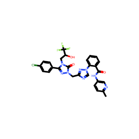 Cc1ccc(NC(=O)c2ccccc2-n2cnc(Cn3nc(-c4ccc(Cl)cc4)n(CC(O)C(F)(F)F)c3=O)n2)cn1